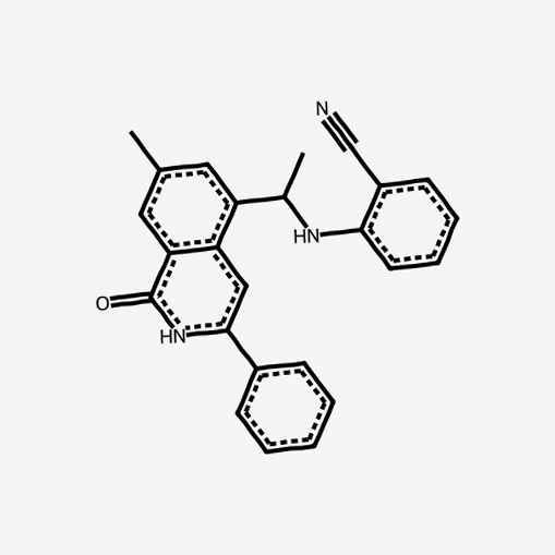 Cc1cc(C(C)Nc2ccccc2C#N)c2cc(-c3ccccc3)[nH]c(=O)c2c1